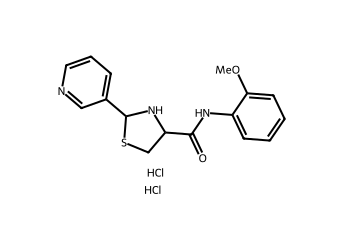 COc1ccccc1NC(=O)C1CSC(c2cccnc2)N1.Cl.Cl